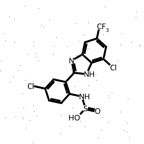 O=S(O)Nc1ccc(Cl)cc1-c1nc2cc(C(F)(F)F)cc(Cl)c2[nH]1